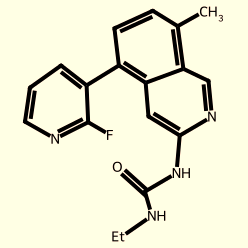 CCNC(=O)Nc1cc2c(-c3cccnc3F)ccc(C)c2cn1